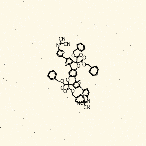 N#CC(C#N)=Nc1ccc(-c2cc3c(s2)-c2cc4c(cc2OC3(C(=O)OCc2ccccc2)C(=O)OCc2ccccc2)-c2sc(-c3ccc(N=C(C#N)C#N)s3)cc2C(C(=O)OCc2ccccc2)(C(=O)OCc2ccccc2)O4)s1